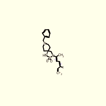 C=C/C(I)=C\C=C(/C)N1CC2(CCN(Cc3ccccc3)CC2)NS1(=O)=O